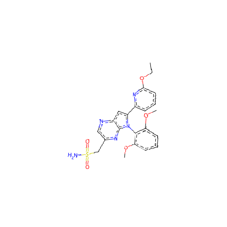 CCOc1cccc(-c2cc3ncc(CS(N)(=O)=O)nc3n2-c2c(OC)cccc2OC)n1